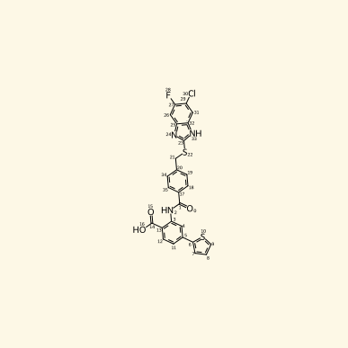 O=C(Nc1cc(-c2cccs2)ccc1C(=O)O)c1ccc(CSc2nc3cc(F)c(Cl)cc3[nH]2)cc1